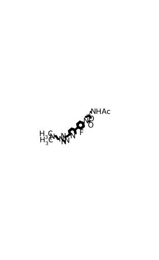 CC(=O)NC[C@H]1CN(c2ccc(-c3ccc(-c4nnn(CCN(C)C)n4)nc3)c(F)c2)C(=O)O1